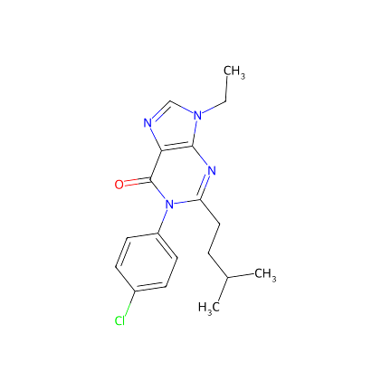 CCn1cnc2c(=O)n(-c3ccc(Cl)cc3)c(CCC(C)C)nc21